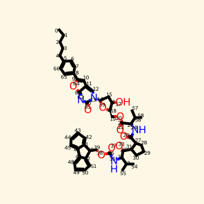 CCCCCc1ccc(-c2cc3cn([C@H]4CC(O)[C@@H](COC(=O)C(NC(=O)C5CCCC5C(=O)C(NC(=O)OCC5c6ccccc6-c6ccccc65)C(C)C)C(C)C)O4)c(=O)nc3o2)cc1